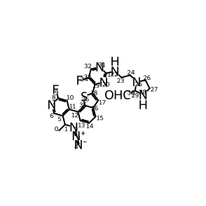 CC(N=[N+]=[N-])c1cnc(F)cc1-c1cccc2cc(-c3nc(NCCN4CCNC4C=O)ncc3F)sc12